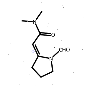 CN(C)C(=O)/C=C1/CCCN1C=O